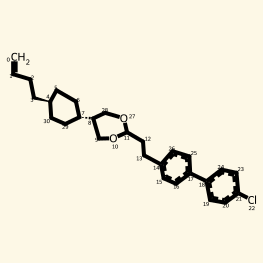 C=CCC[C@H]1CC[C@H](C2COC(CCc3ccc(-c4ccc(Cl)cc4)cc3)OC2)CC1